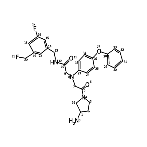 NC1CCN(C(=O)CN(CC(=O)NCc2cc(F)cc(CF)c2)c2ccc(Oc3ccccc3)cc2)C1